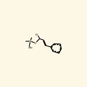 [CH2]CC(C=Cc1ccccc1)O[Si](C)(C)C(C)(C)C